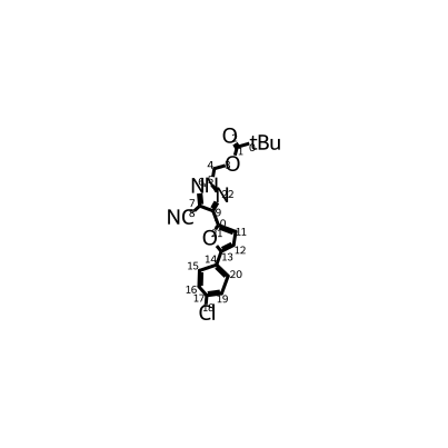 CC(C)(C)C(=O)OCn1nc(C#N)c(-c2ccc(-c3ccc(Cl)cc3)o2)n1